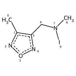 Cc1nonc1CN(C)I